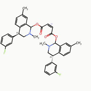 Cc1ccc2c(c1)C(OC(=O)/C=C\C(=O)OC1c3cc(C)ccc3[C@H](c3cccc(F)c3)CN1C)N(C)C[C@H]2c1cccc(F)c1